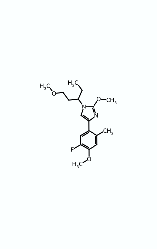 CCC(CCOC)n1cc(-c2cc(F)c(OC)cc2C)nc1OC